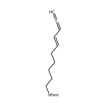 [CH]=C=CC=CCCCCCCCCCC